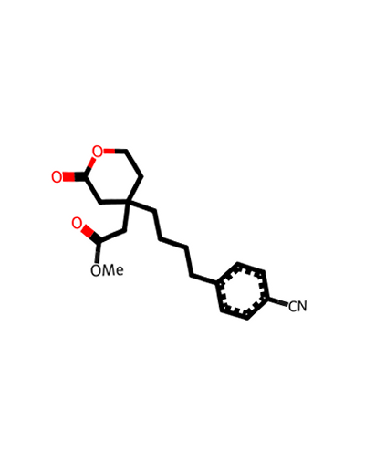 COC(=O)CC1(CCCCc2ccc(C#N)cc2)CCOC(=O)C1